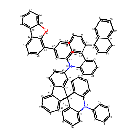 c1ccc(N2c3ccccc3C3(c4ccccc4-c4ccc(N(c5cccc(-c6cccc7c6oc6ccccc67)c5)c5ccccc5-c5ccccc5-c5cccc6ccccc56)cc43)c3ccccc32)cc1